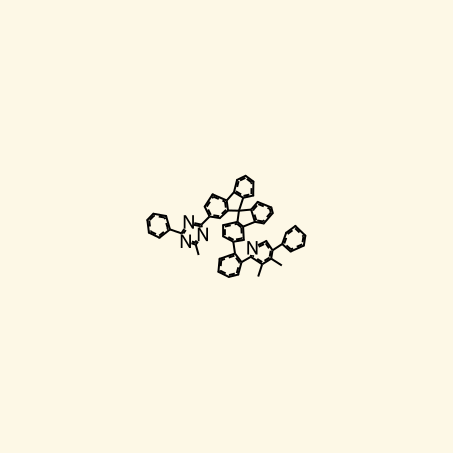 Cc1nc(-c2ccccc2)nc(-c2ccc3c(c2)C2(c4ccccc4-c4cc(-c5ccccc5-c5ncc(-c6ccccc6)c(C)c5C)ccc42)c2ccccc2-3)n1